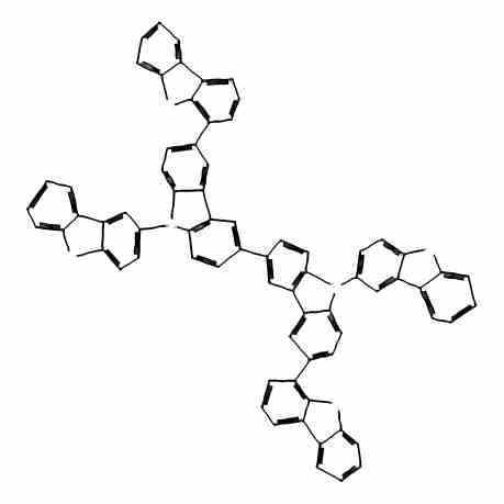 c1ccc2c(c1)oc1ccc(-n3c4ccc(-c5ccc6c(c5)c5cc(-c7cccc8c7oc7ccccc78)ccc5n6-c5ccc6oc7ccccc7c6c5)cc4c4cc(-c5cccc6c5oc5ccccc56)ccc43)cc12